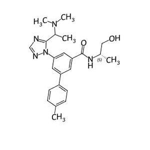 Cc1ccc(-c2cc(C(=O)N[C@@H](C)CO)cc(-n3ncnc3C(C)N(C)C)c2)cc1